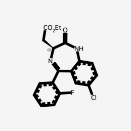 CCOC(=O)C[C@@H]1N=C(c2ccccc2F)c2cc(Cl)ccc2NC1=O